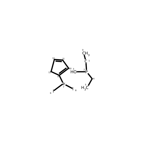 CCP(O)CC.[I][Ir]([I])[C]1=CC=CC1